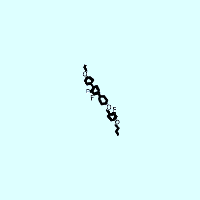 CCCCOc1ccc(COC2CCC(c3ccc(-c4ccc(OCCC)cc4)c(F)c3F)CC2)c(F)c1